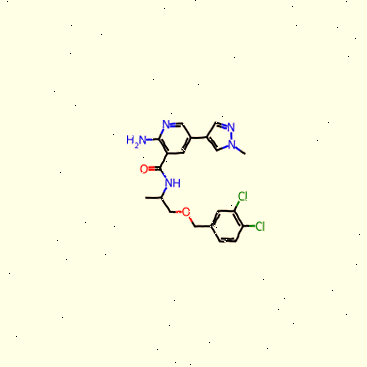 CC(COCc1ccc(Cl)c(Cl)c1)NC(=O)c1cc(-c2cnn(C)c2)cnc1N